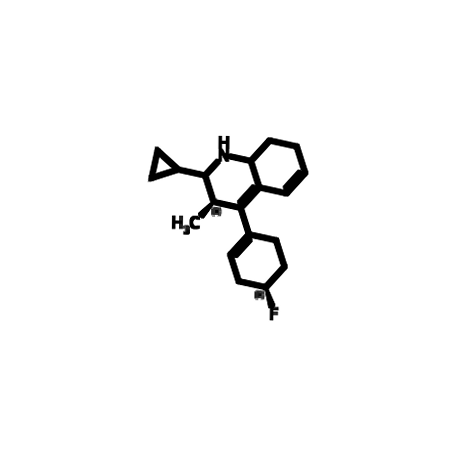 C[C@@H]1C(C2=CC[C@H](F)CC2)=C2C=CCCC2NC1C1CC1